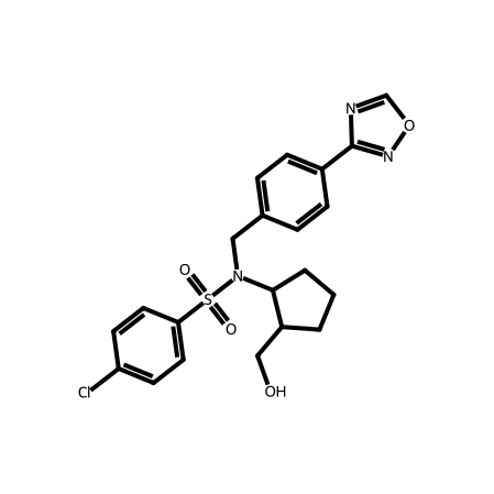 O=S(=O)(c1ccc(Cl)cc1)N(Cc1ccc(-c2ncon2)cc1)C1CCCC1CO